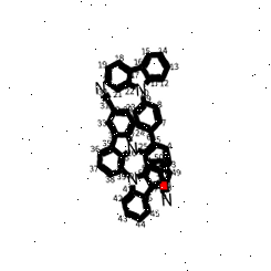 N#Cc1ccc(-c2ccc(-n3c4ccccc4c4ccccc43)cc2)c(-n2c3ccc(C#N)cc3c3cccc(-n4c5ccccc5c5ccccc54)c32)c1